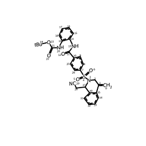 C=C1CN(S(=O)(=O)c2ccc(C(=O)Nc3ccccc3NC(=O)OC(C)(C)C)cc2)C(CC#N)c2ccccc21